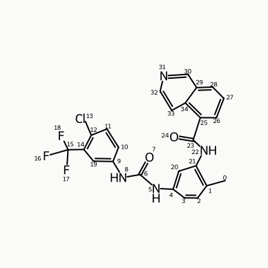 Cc1ccc(NC(=O)Nc2ccc(Cl)c(C(F)(F)F)c2)cc1NC(=O)c1cccc2cnccc12